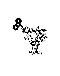 CC(C)C[C@H](NC(=O)CNC(=O)[C@H](C)NC(=O)OCC1c2ccccc2-c2ccccc21)C(=O)N[C@H](C(=O)N[C@@H](CCCNC(=N)N)C(=O)N1CCC[C@H]1C(=O)O)C(C)C